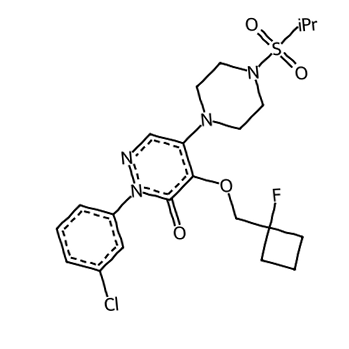 CC(C)S(=O)(=O)N1CCN(c2cnn(-c3cccc(Cl)c3)c(=O)c2OCC2(F)CCC2)CC1